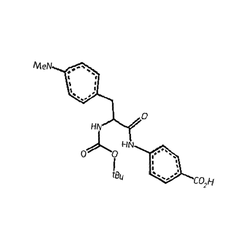 CNc1ccc(CC(NC(=O)OC(C)(C)C)C(=O)Nc2ccc(C(=O)O)cc2)cc1